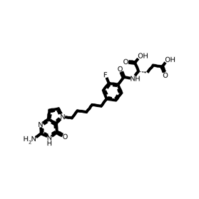 Nc1nc2ccn(CCCCCc3ccc(C(=O)N[C@@H](CCC(=O)O)C(=O)O)c(F)c3)c2c(=O)[nH]1